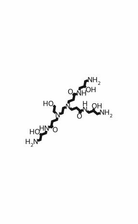 NCC(O)CNC(=O)CCN(CCO)CCN(CCC(=O)NCC(O)CN)CCC(=O)NCC(O)CN